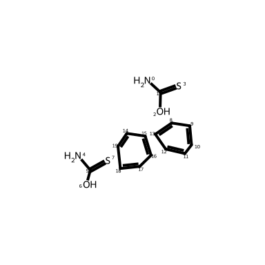 NC(O)=S.NC(O)=S.c1ccccc1.c1ccccc1